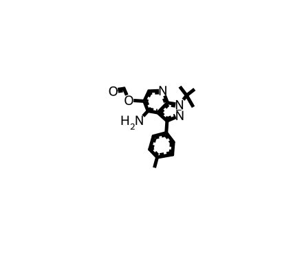 Cc1ccc(-c2nn(C(C)(C)C)c3ncc(OC=O)c(N)c23)cc1